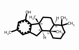 Cc1cc(O)c2c(c1)C[C@@H]1[C@@]3(C)CCCC(C)(C)[C@@H]3CC[C@@]21C